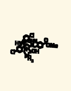 COC(=O)c1ccc(CN[C@@H]2[C@@H]([C@@H](C)O)N(CC3CC3)[C@]3(C(=O)Nc4cc(Cl)ccc43)[C@@H]2c2cccc(Cl)c2F)c([N+](=O)[O-])c1